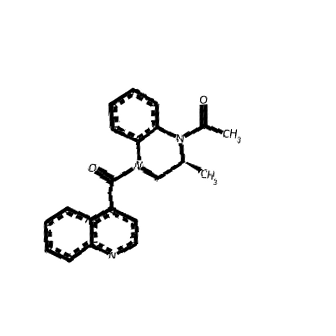 CC(=O)N1c2ccccc2N(C(=O)c2ccnc3ccccc23)C[C@@H]1C